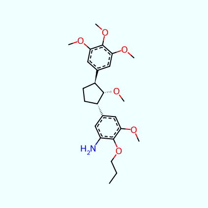 CCCOc1c(N)cc([C@@H]2CC[C@@H](c3cc(OC)c(OC)c(OC)c3)[C@@H]2OC)cc1OC